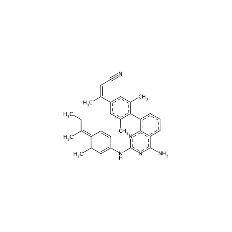 CC/C(C)=C1\C=CC(Nc2nc(N)c3cccc(-c4c(C)cc(/C(C)=C\C#N)cc4C)c3n2)=CC1C